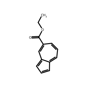 CCOC(=O)c1cccc2cccc-2c1